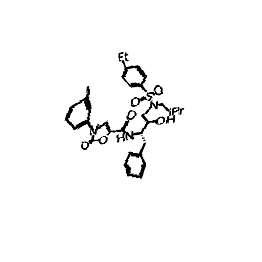 CCc1ccc(S(=O)(=O)N(CC(C)C)C[C@@H](O)[C@H](Cc2ccccc2)NC(=O)[C@@H]2CN(c3cccc(C)c3)C(=O)O2)cc1